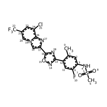 Cc1cc(NS(C)(=O)=O)c(F)cc1-c1noc(-c2cn3cc(C(F)(F)F)cc(Cl)c3n2)n1